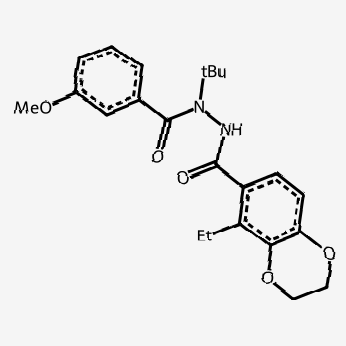 CCc1c(C(=O)NN(C(=O)c2cccc(OC)c2)C(C)(C)C)ccc2c1OCCO2